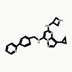 c1ccc(-c2ccc(CNc3cc(NC4CNC4)nc4c(C5CC5)cnn34)cc2)nc1